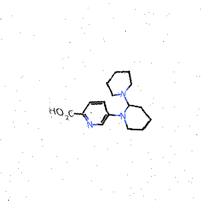 O=C(O)c1ccc(N2CCCCC2N2CCCCC2)cn1